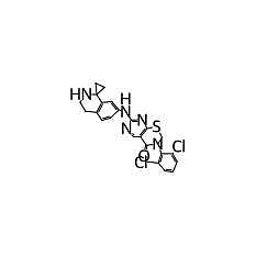 O=C1c2cnc(Nc3ccc4c(c3)C3(CC3)NCC4)nc2SCN1c1c(Cl)cccc1Cl